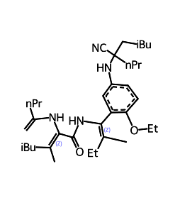 C=C(CCC)N/C(C(=O)N/C(=C(/C)CC)c1cc(NC(C#N)(CCC)CC(C)CC)ccc1OCC)=C(/C)C(C)CC